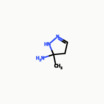 CC1(N)CC=NN1